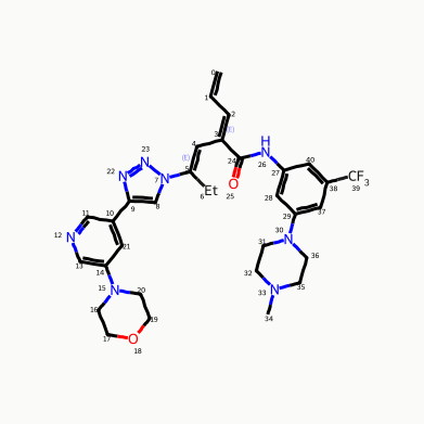 C=C/C=C(\C=C(/CC)n1cc(-c2cncc(N3CCOCC3)c2)nn1)C(=O)Nc1cc(N2CCN(C)CC2)cc(C(F)(F)F)c1